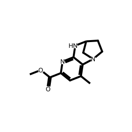 COC(=O)c1cc(C)c2c(n1)NC1CCN2C1